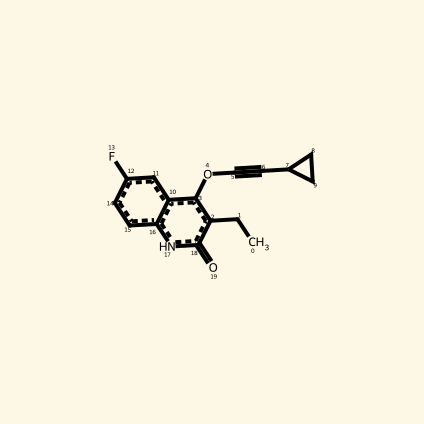 CCc1c(OC#CC2CC2)c2cc(F)ccc2[nH]c1=O